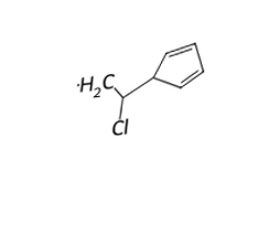 [CH2]C(Cl)C1C=CC=C1